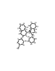 Fc1ccc(-c2cc(-n3c4ccccc4c[13c]3-c3ccccc3)c3ccccc3c2)cc1